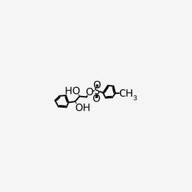 Cc1ccc(S(=O)(=O)OC[C@@H](O)[C@H](O)c2ccccc2)cc1